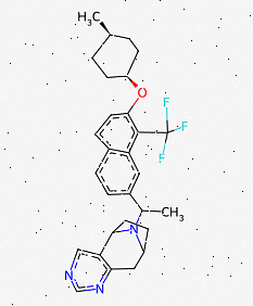 CC(c1ccc2ccc(O[C@H]3CC[C@@H](C)CC3)c(C(F)(F)F)c2c1)N1C2CCC1c1cncnc1C2